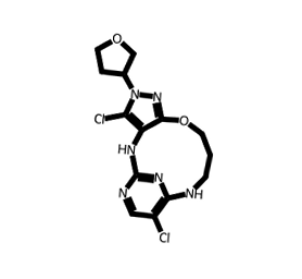 Clc1cnc2nc1NCCCOc1nn(C3CCOC3)c(Cl)c1N2